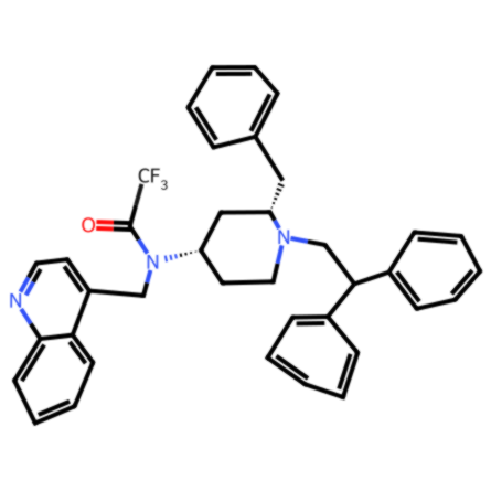 O=C(N(Cc1ccnc2ccccc12)[C@H]1CCN(CC(c2ccccc2)c2ccccc2)[C@@H](Cc2ccccc2)C1)C(F)(F)F